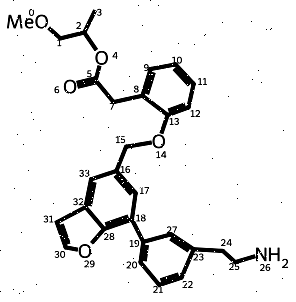 COCC(C)OC(=O)Cc1ccccc1OCc1cc(-c2cccc(CCN)c2)c2occc2c1